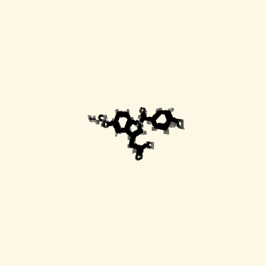 COc1ccc2c(c1)c(CC(=O)Cl)cn2C(=O)c1ccc(Cl)cc1